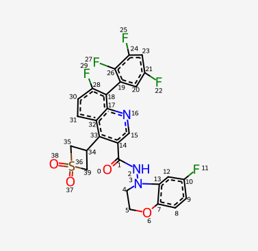 O=C(NN1CCOc2ccc(F)cc21)c1cnc2c(-c3cc(F)cc(F)c3F)c(F)ccc2c1C1CS(=O)(=O)C1